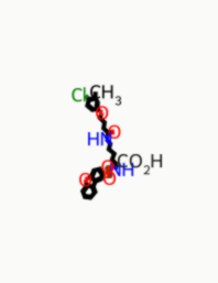 Cc1cc(OCCCC(=O)NCCCCC(NS(=O)(=O)c2ccc3oc4ccccc4c3c2)C(=O)O)ccc1Cl